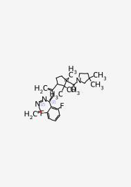 C=C/N=N\C(=C/C(=C)C1CC[C@](C)(C(=O)N2CCC(C)(C)C2)C1(C)C)c1c(F)cccc1F